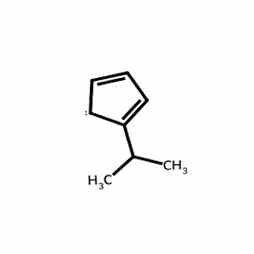 CC(C)C1=CC=C[C]1